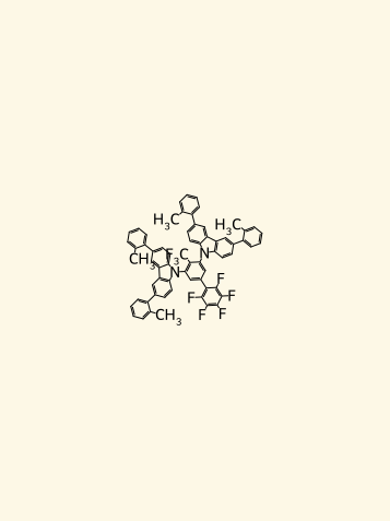 Cc1ccccc1-c1ccc2c(c1)c1cc(-c3ccccc3C)ccc1n2-c1cc(-c2c(F)c(F)c(F)c(F)c2F)cc(-n2c3ccc(-c4ccccc4C)cc3c3cc(-c4ccccc4C)ccc32)c1C(F)(F)F